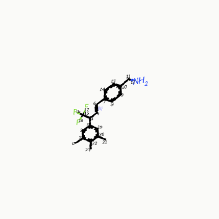 Cc1cc(C(/C=C/c2ccc(CN)cc2)C(F)(F)F)cc(C)c1C